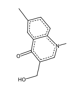 Cc1ccc2c(c1)c(=O)c(CO)cn2C